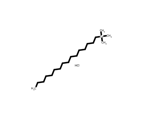 CCCCCCCCCCCCCCC[CH2][Cu]([CH3])([CH3])[CH3].Cl